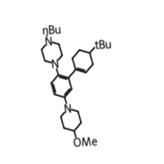 CCCCN1CCN(c2ccc(N3CCC(OC)CC3)cc2C2=CCC(C(C)(C)C)CC2)CC1